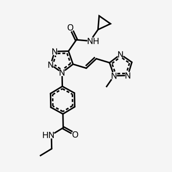 CCNC(=O)c1ccc(-n2nnc(C(=O)NC3CC3)c2/C=C/c2ncnn2C)cc1